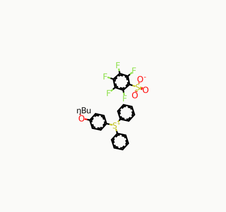 CCCCOc1ccc([S+](c2ccccc2)c2ccccc2)cc1.O=S(=O)([O-])c1c(F)c(F)c(F)c(F)c1F